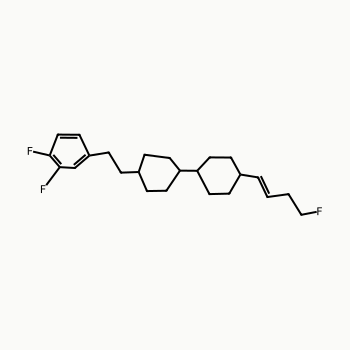 FCCC=CC1CCC(C2CCC(CCc3ccc(F)c(F)c3)CC2)CC1